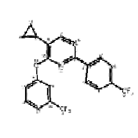 FC(F)(F)c1ccc(-c2ncc(C3CC3)c(Oc3cccc(C(F)(F)F)c3)n2)cc1